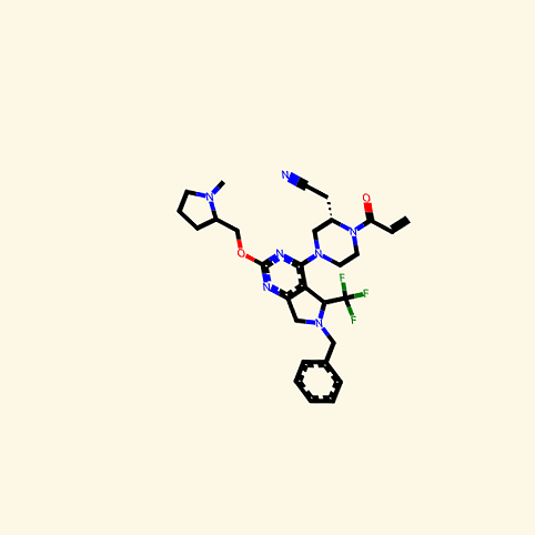 C=CC(=O)N1CCN(c2nc(OCC3CCCN3C)nc3c2C(C(F)(F)F)N(Cc2ccccc2)C3)C[C@@H]1CC#N